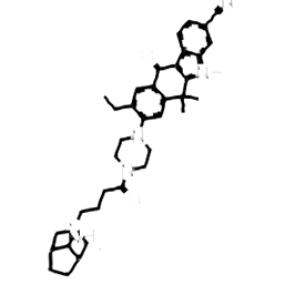 CCc1cc2c(cc1N1CCN(C(=O)CCCN3CC4CCC(C3)C4N)CC1)C(C)(C)c1[nH]c3cc(C#N)ccc3c1C2=O